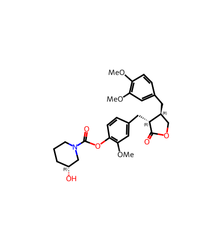 COc1ccc(C[C@H]2COC(=O)[C@@H]2Cc2ccc(OC(=O)N3CCC[C@@H](O)C3)c(OC)c2)cc1OC